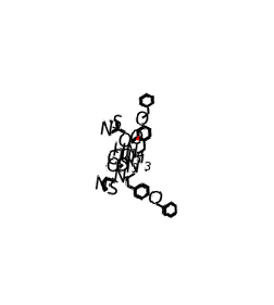 CCN(CC(Cc1ccc(OCc2ccccc2)cc1)N(C(=O)OC)c1cncs1)C[C@H](Cc1ccc(OCc2ccccc2)cc1)NC(=O)OCc1cncs1